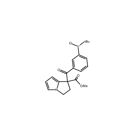 CCCC[S+]([O-])c1cccc(C(=O)C2(C(=O)OC)CCn3cccc32)c1